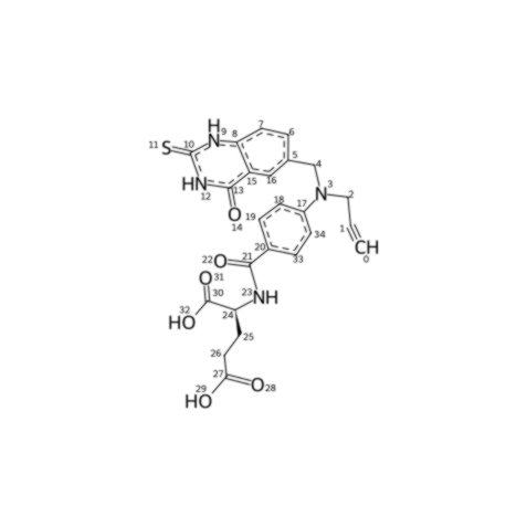 C#CCN(Cc1ccc2[nH]c(=S)[nH]c(=O)c2c1)c1ccc(C(=O)N[C@@H](CCC(=O)O)C(=O)O)cc1